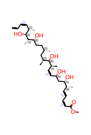 C=C/C=C\[C@H](C)[C@H](O)[C@@H](C)[C@H](O)CC[C@H](C)C[C@H](C)[C@@H](O)[C@@H](C)/C=C\[C@@H](O)C[C@H](O)[C@H](C)/C=C/C=C\C(=O)OC